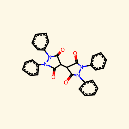 O=C1C(C2C(=O)N(c3ccccc3)N(c3ccccc3)C2=O)C(=O)N(c2ccccc2)N1c1ccccc1